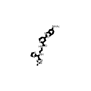 CC(=O)Nc1ccc2oc(-c3ccnc(C(=O)NCCNC(c4nnn(C)n4)c4nccs4)c3)nc2c1